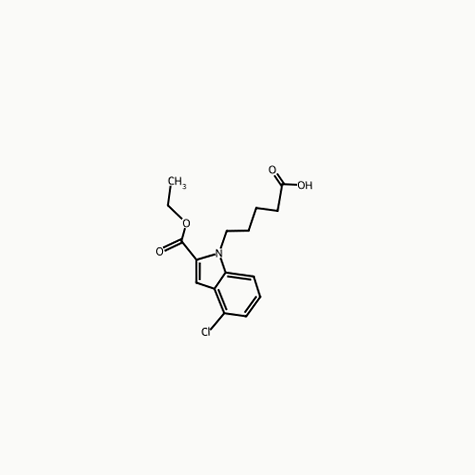 CCOC(=O)c1cc2c(Cl)cccc2n1CCCCC(=O)O